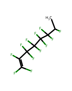 CC(F)C(F)(F)C(F)(F)C(F)(F)C(F)(F)C(F)=C(F)F